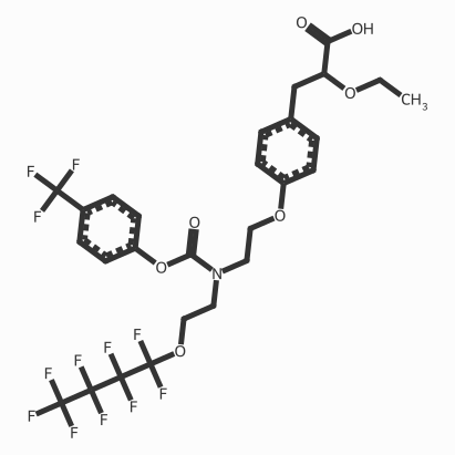 CCOC(Cc1ccc(OCCN(CCOC(F)(F)C(F)(F)C(F)(F)C(F)(F)F)C(=O)Oc2ccc(C(F)(F)F)cc2)cc1)C(=O)O